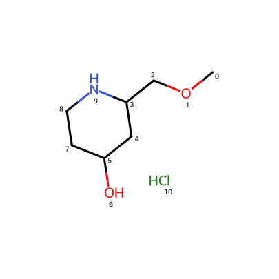 COCC1CC(O)CCN1.Cl